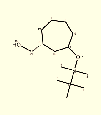 CC(C)(C)[Si](C)(C)OC1CCCC[C@@H](CO)C1